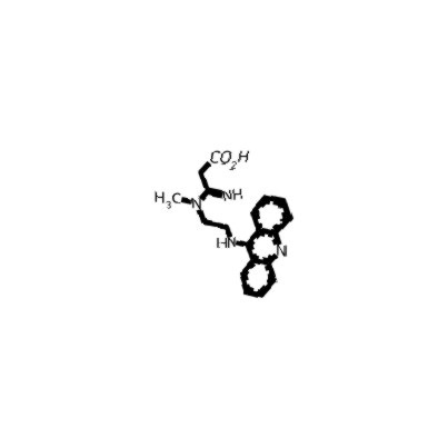 CN(CCNc1c2ccccc2nc2ccccc12)C(=N)CC(=O)O